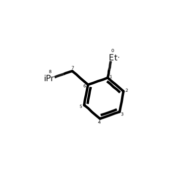 C[CH]c1ccccc1CC(C)C